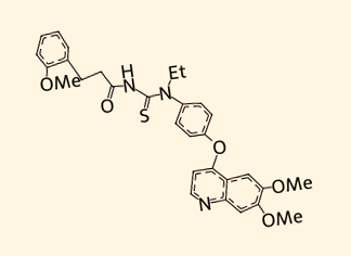 CCN(C(=S)NC(=O)CCc1ccccc1OC)c1ccc(Oc2ccnc3cc(OC)c(OC)cc23)cc1